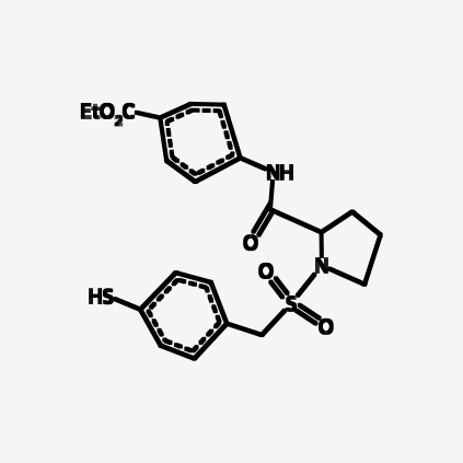 CCOC(=O)c1ccc(NC(=O)C2CCCN2S(=O)(=O)Cc2ccc(S)cc2)cc1